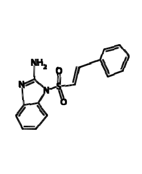 Nc1nc2ccccc2n1S(=O)(=O)C=Cc1ccccc1